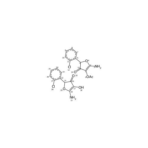 CC(=O)OC1=C(N)OC(c2ccccc2Cl)C1=O.NC1=C(O)C(=O)C(c2ccccc2Cl)O1